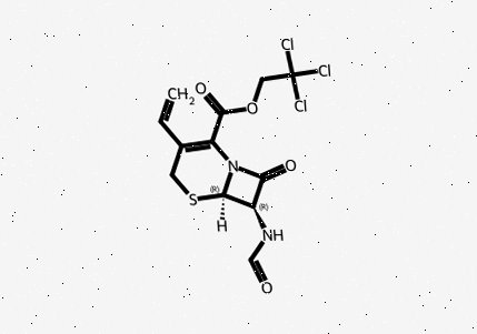 C=CC1=C(C(=O)OCC(Cl)(Cl)Cl)N2C(=O)[C@@H](NC=O)[C@H]2SC1